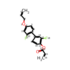 C=CCOc1ccc(-c2ccc(OC(=O)C=C)c(F)c2)c(F)c1